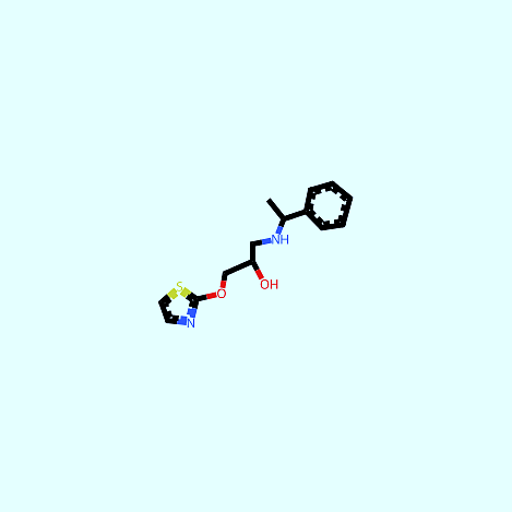 CC(NCC(O)COc1nccs1)c1ccccc1